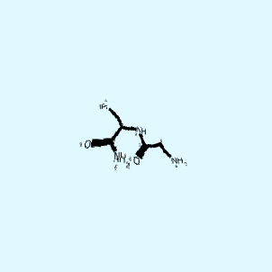 CC(C)C(NC(=O)CN)C(N)=O